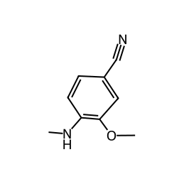 CNc1ccc(C#N)cc1OC